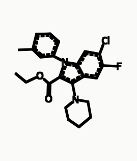 CCOC(=O)c1c(N2CCCCC2)c2cc(F)c(Cl)cc2n1-c1cccc(C)c1